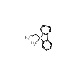 CC[P]1(C)c2ccccc2-c2ccccc21